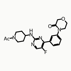 CC(=O)N1CCC(Nc2ncc(F)c(-c3cccc(N4CCOCC4=O)c3)n2)CC1